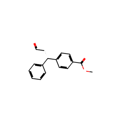 COC(=O)c1ccc([C@@H](CC=O)c2ccccc2)cc1